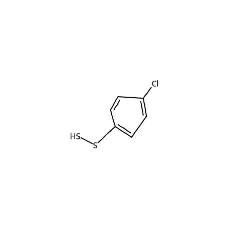 SSc1ccc(Cl)cc1